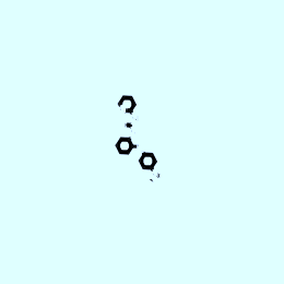 O=C(Nc1ccccn1)Nc1ccccc1Sc1ccc([N+](=O)[O-])cc1